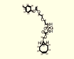 C=C(OCCOCCNS(=O)(=O)NC(=O)OC[C@@H]1[C@@H]2CCC#CCC[C@@H]21)Oc1ccc(C)cc1